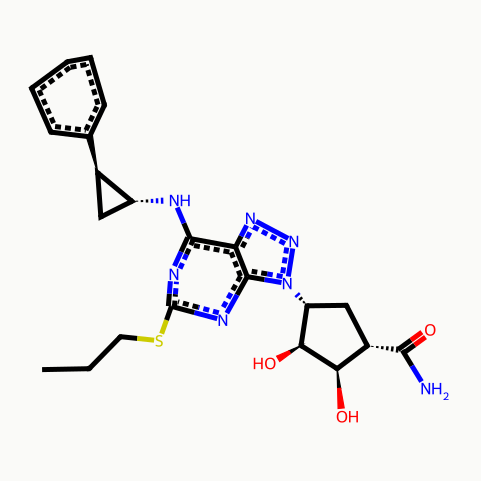 CCCSc1nc(N[C@@H]2C[C@H]2c2ccccc2)c2nnn([C@@H]3C[C@H](C(N)=O)[C@@H](O)[C@H]3O)c2n1